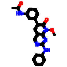 COn1c(=O)c(-c2cccc(NC(C)=O)c2)cc2cnc(Nc3ccccc3)nc21